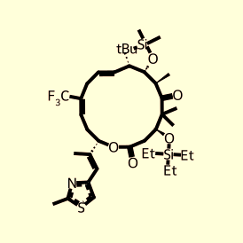 CC[Si](CC)(CC)O[C@H]1CC(=O)O[C@H](/C(C)=C/c2csc(C)n2)C/C=C(/C(F)(F)F)C/C=C/[C@H](C)[C@H](O[Si](C)(C)C(C)(C)C)[C@@H](C)C(=O)C1(C)C